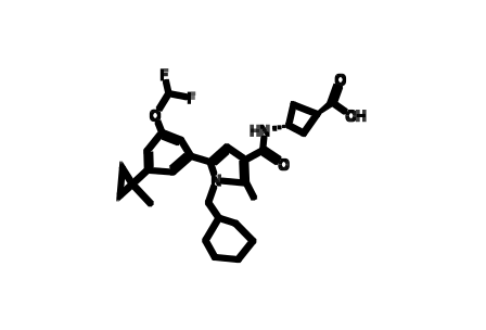 Cc1c(C(=O)N[C@H]2C[C@H](C(=O)O)C2)cc(-c2cc(OC(F)F)cc(C3(C)CC3)c2)n1CC1CCCCC1